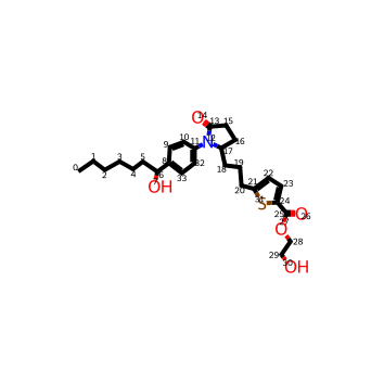 CCCCCCC(O)c1ccc(N2C(=O)CCC2CCCc2ccc(C(=O)OCCO)s2)cc1